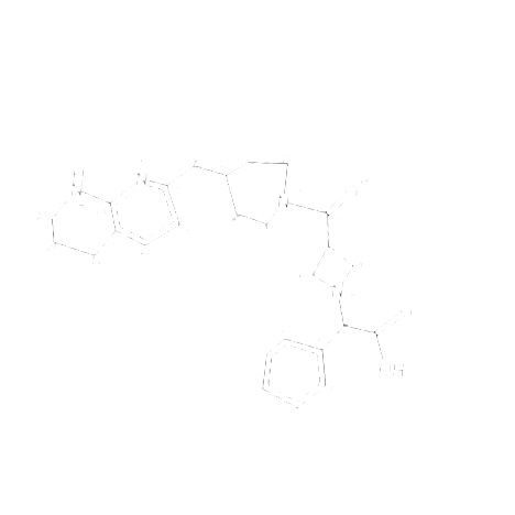 O=C(O)C(c1ccccc1)N1CC(C(=O)N2CCC(Cc3ccc4c(n3)NCCC4)CC2)C1